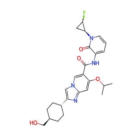 CC(C)Oc1cc2nc([C@H]3CC[C@H](CO)CC3)cn2cc1C(=O)Nc1cccn([C@H]2C[C@H]2F)c1=O